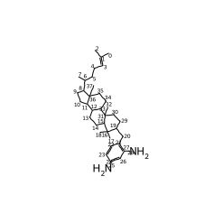 CC(C)=CCCC(C)C1CCC2C3CCC4C(C)(C)C(Cc5ccc(N)cc5N)CCC4(C)C3CCC12C